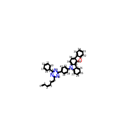 C=C/C=C\C=C\c1nc(-c2ccccc2)nc(-c2ccc(-n3c4ccccc4c4c5oc6ccccc6c5ccc43)cc2)n1